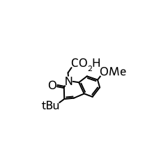 COc1ccc2cc(C(C)(C)C)c(=O)n(CC(=O)O)c2c1